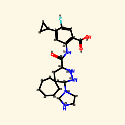 O=C(O)c1cc(F)c(C2CC2)cc1NC(=O)C1CC2(CCCCCC2)C(N2CCNC2)NN1